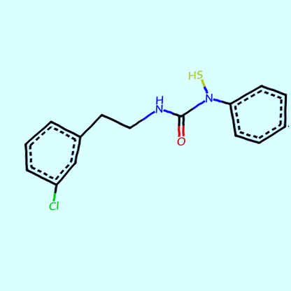 O=C(NCCc1cccc(Cl)c1)N(S)c1cc[c]cc1